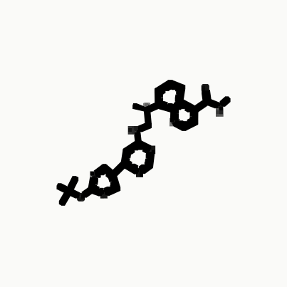 CNC(=O)c1ccnc2c([C@H](C)CNc3cc(-c4cnc(OC(C)(C)C)nc4)ncn3)cccc12